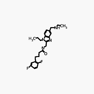 CCCn1c(C[N]C(=O)CCCc2cc(F)ccc2F)nc2cc(CNCC)ccc21